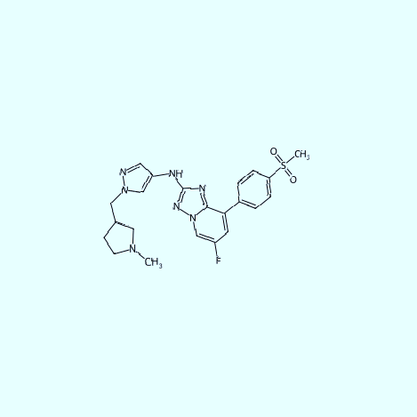 CN1CCC(Cn2cc(Nc3nc4c(-c5ccc(S(C)(=O)=O)cc5)cc(F)cn4n3)cn2)C1